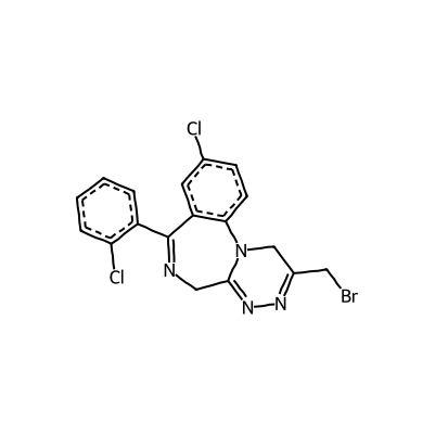 Clc1ccc2c(c1)C(c1ccccc1Cl)=NCC1=NN=C(CBr)CN12